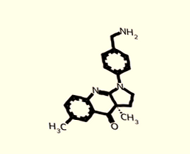 Cc1ccc2c(c1)C(=O)[C@]1(C)CCN(c3ccc(CN)cc3)C1=N2